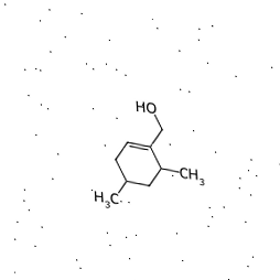 CC1CC=C(CO)C(C)C1